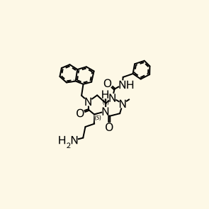 CN1CC(=O)N2[C@@H](CCCN)C(=O)N(Cc3cccc4ccccc34)C[C@@H]2N1C(=O)NCc1ccccc1